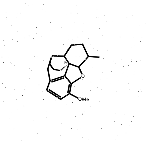 COc1ccc2c3c1OC1C(C)CCC4C(CCC[C@]341)C2